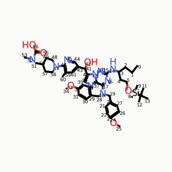 CCCC(CCO[Si](C)(C)C(C)(C)C)Nc1nc(N(Cc2ccc(OC)cc2)Cc2ccc(OC)cc2)c2ncc(C(O)c3cnc(N4CCC(CN(C)C(=O)O)CC4)c(C)c3)n2n1